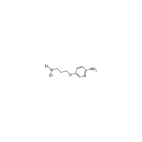 CCN(CC)CCCOc1ccc(N)nc1